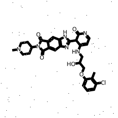 Cc1c(Cl)cccc1OCC(O)CNC1=CC=NC(=O)C1c1nc2cc3c(cc2[nH]1)C(=O)N(C1CCN(C)CC1)C3=O